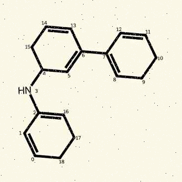 C1=CC(NC2C=C(C3=CCCC=C3)C=CC2)=CCC1